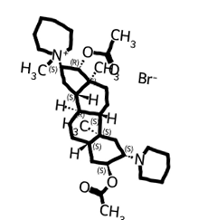 CC(=O)O[C@H]1C[C@@H]2CC[C@@H]3[C@H](CC[C@@]4(C)[C@H]3C[C@H]([N+]3(C)CCCCCC3)[C@@H]4OC(C)=O)[C@@]2(C)C[C@@H]1N1CCCCC1.[Br-]